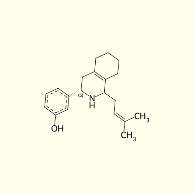 CC(C)=CCC1N[C@H](c2cccc(O)c2)CC2=C1CCCC2